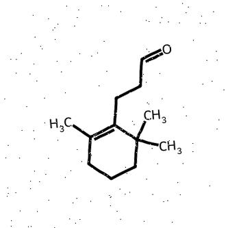 CC1=C(CCC=O)C(C)(C)CCC1